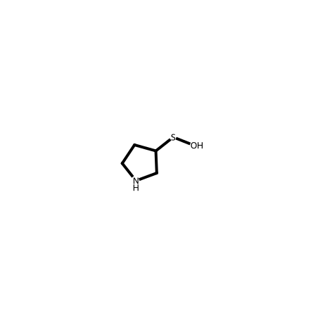 OSC1CCNC1